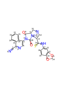 N#Cc1ncc(N2C(=O)C3CN4CC(C(=S)Nc5ccc6c(c5)OCO6)[N+]3(C4)C2=O)c2ccccc12